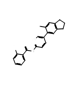 C=C(/C=C\C(=C/N)c1cc2c(cc1Cl)CCC2)NC(=O)c1ccccc1F